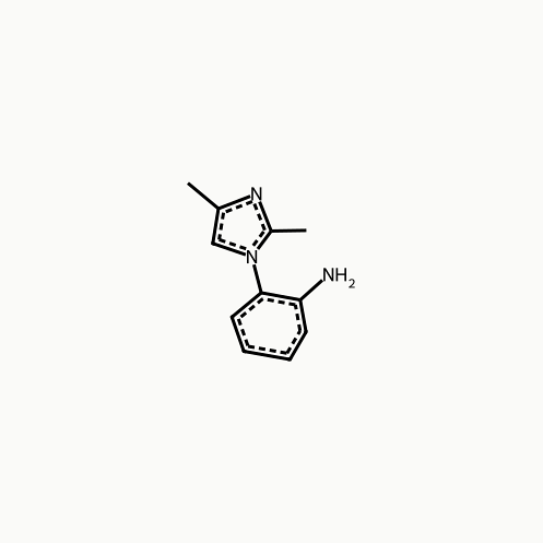 Cc1cn(-c2ccccc2N)c(C)n1